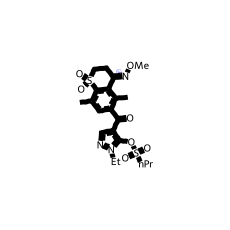 CCCS(=O)(=O)Oc1c(C(=O)c2cc(C)c3c(c2C)/C(=N/OC)CCS3(=O)=O)cnn1CC